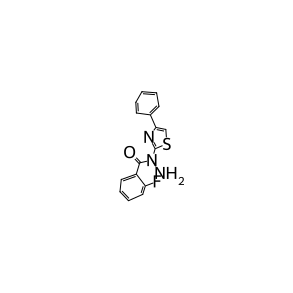 NN(C(=O)c1ccccc1F)c1nc(-c2ccccc2)cs1